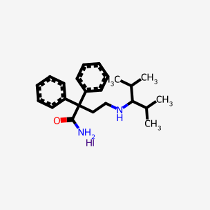 CC(C)C(NCCC(C(N)=O)(c1ccccc1)c1ccccc1)C(C)C.I